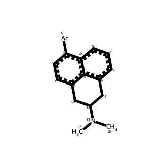 CC(=O)c1ccc2c3c(cccc13)CC(N(C)C)C2